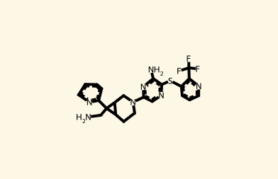 NCC1(c2ccccn2)C2CCN(c3cnc(Sc4cccnc4C(F)(F)F)c(N)n3)CC21